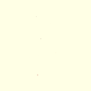 BC1OC(CO[PH](=O)S)C(C(C)(C)C)C1C(C)C